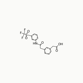 O=C(O)Cc1cccc(CC(=O)Nc2cccc(S(=O)(=O)C(F)(F)F)c2)c1